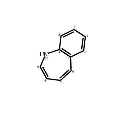 [c]1cccc2c1C=CC=CN2